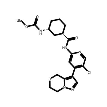 CC(C)(C)OC(=O)N[C@@H]1CCC[C@H](C(=O)Nc2cc(-c3cnn4c3COCC4)c(Cl)cn2)C1